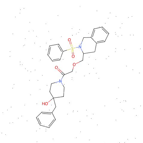 O=C(COCC1Cc2ccccc2CN1S(=O)(=O)c1ccccc1)N1CCC(O)(Cc2ccccc2)CC1